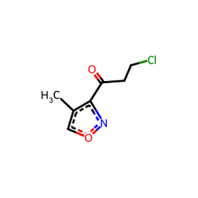 Cc1conc1C(=O)CCCl